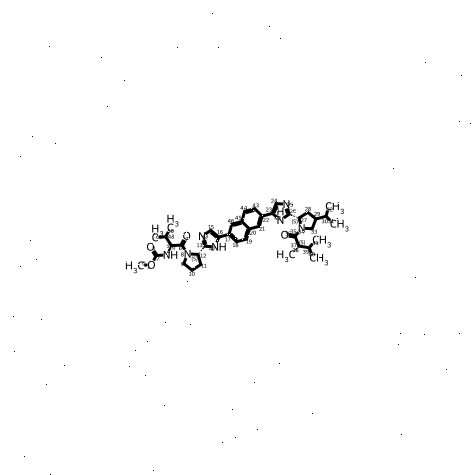 COC(=O)N[C@H](C(=O)N1CCC[C@H]1c1ncc(-c2ccc3cc(-c4cnc([C@@H]5CC(C(C)C)CN5C(=O)[C@@H](C)C(C)C)[nH]4)ccc3c2)[nH]1)C(C)C